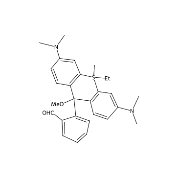 CCS1(C)c2cc(N(C)C)ccc2C(OC)(c2ccccc2C=O)c2ccc(N(C)C)cc21